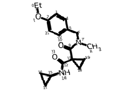 CCOc1ccc(CN(C)C(=O)C2(C(=O)NC3CC3)CC2)cc1